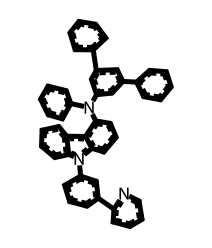 c1ccc(-c2cc(-c3ccccc3)cc(N(c3ccccc3)c3cccc4c3c3ccccc3n4-c3cccc(-c4ccccn4)c3)c2)cc1